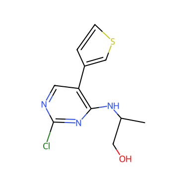 CC(CO)Nc1nc(Cl)ncc1-c1ccsc1